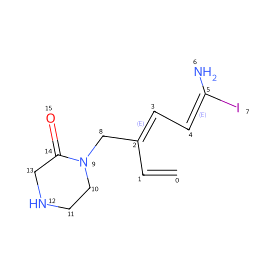 C=C/C(=C\C=C(/N)I)CN1CCNCC1=O